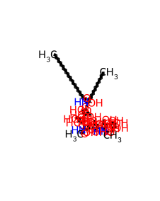 CCCCCCCCCCCCC/C=C/[C@@H](O)[C@H](CO[C@@H]1OC(CO)[C@@H](O[C@@H]2OC(CO)[C@H](O)[C@H](O[C@@H]3OC(CO)[C@@H](O[C@@H]4OC(CO)[C@H](O)[C@H](O[C@@H]5OC(CO)[C@@H](O[C@@H]6OC(CO)[C@H](O)[C@H](O)C6O)[C@H](O)C5NC(C)=O)C4O)[C@H](O)C3NC(C)=O)C2O)[C@H](O)C1O)NC(=O)CCCCCCCCCCCCCCCCCCCCCCCCC